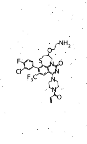 C=CC(=O)N1[C@H](C)CN(c2nc(=O)n3c4c(c(-c5ccc(F)c(Cl)c5)c(C(F)(F)F)cc24)SCC(OCCN)C3)C[C@@H]1C